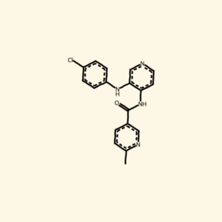 Cc1ccc(C(=O)Nc2ccncc2Nc2ccc(Cl)cc2)cn1